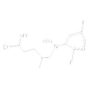 CCCCN(CC(C)CCC(CC)CCC)c1cc(F)ccc1F